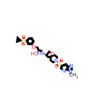 Cn1cnc2cc(S(=O)(=O)N3CCC4(CC3)C[C@@H](NC[C@H](O)COc3cccc(S(=O)(=O)C5CC5)c3)CO4)cnc21